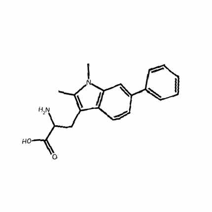 Cc1c(CC(N)C(=O)O)c2ccc(-c3ccccc3)cc2n1C